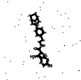 CCc1cnc2c(N)c(C(=O)NCCc3ccc(N4CC5CCC(C4)N5)cc3)sc2n1